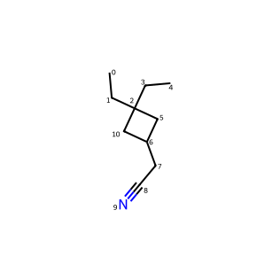 CCC1(CC)CC(CC#N)C1